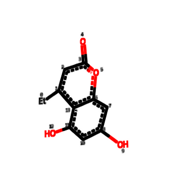 CCc1cc(=O)oc2cc(O)cc(O)c12